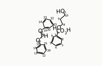 O=C(O)c1ccccc1.OCCCO.c1ccc(OPOc2ccccc2)cc1